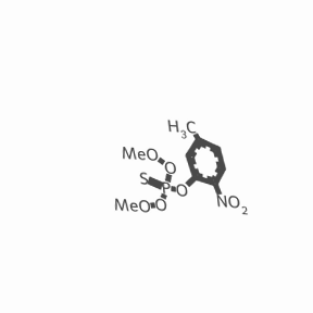 COOP(=S)(OOC)Oc1cc(C)ccc1[N+](=O)[O-]